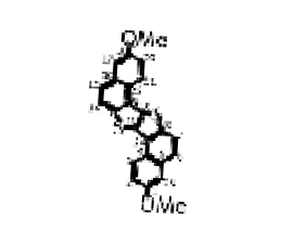 COc1ccc2c(ccc3sc4c(sc5ccc6cc(OC)ccc6c54)c32)c1